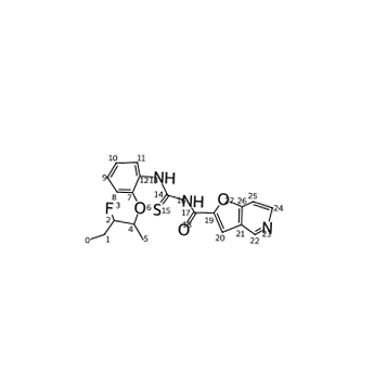 CCC(F)C(C)Oc1ccccc1NC(=S)NC(=O)c1cc2cnccc2o1